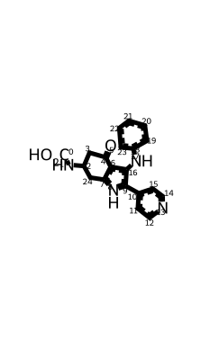 O=C(O)NC1CC(=O)c2c([nH]c(-c3ccncc3)c2Nc2ccccc2)C1